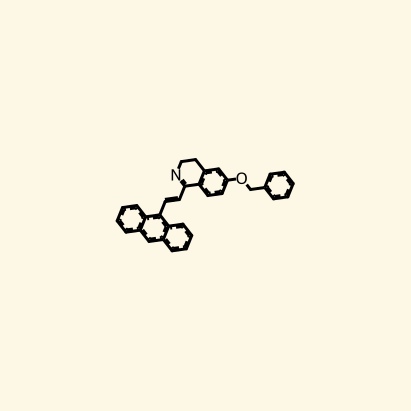 C(=Cc1c2ccccc2cc2ccccc12)C1=NCCc2cc(OCc3ccccc3)ccc21